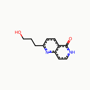 O=c1[nH]ccc2nc(CCCO)ccc12